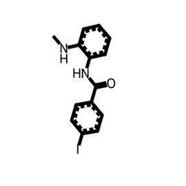 CNc1ccccc1NC(=O)c1ccc(I)cc1